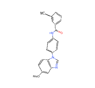 COc1ccc2c(c1)ncn2-c1ccc(NC(=O)c2cccc(C#N)c2)cc1